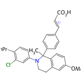 CCCc1ccc(N2CCc3cc(OC)ccc3C2(C)c2ccc(/C=C/C(=O)O)cc2)cc1Cl